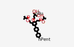 C=C(C)C(=O)OCCc1cc(C2CCC(C3CCC(CCCCC)CC3)CC2)cc(CCOC(=O)C(=C)C)c1OCCC(CO)(CO)CCCC